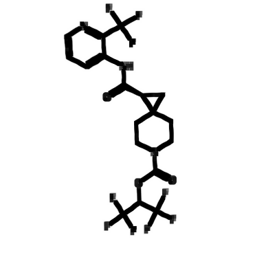 O=C(Nc1cccnc1C(F)(F)F)[C@H]1CC12CCN(C(=O)OC(C(F)(F)F)C(F)(F)F)CC2